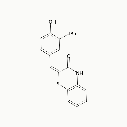 CC(C)(C)c1cc(C=C2Sc3ccccc3NC2=O)ccc1O